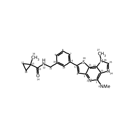 CNc1nc2cc(-c3cccc(CNC(=O)C4(C)CC4)c3)sc2c2c1ncn2C